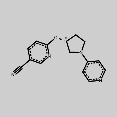 N#Cc1ccc(O[C@@H]2CCN(c3ccncc3)C2)nc1